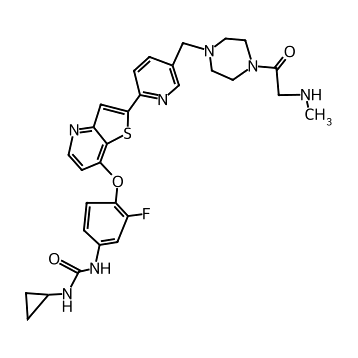 CNCC(=O)N1CCN(Cc2ccc(-c3cc4nccc(Oc5ccc(NC(=O)NC6CC6)cc5F)c4s3)nc2)CC1